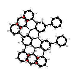 c1ccc(B2c3c(cc(-c4ccccc4)nc3-c3ccccc3)N3c4cc(-c5ccccc5)nc(-c5ccccc5)c4B(c4ccccc4)c4c(-c5ccccc5)nc(-c5ccccc5)c2c43)cc1